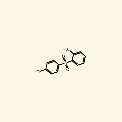 O=S(=O)(c1ccc(Cl)cc1)c1ccccc1C(F)(F)F